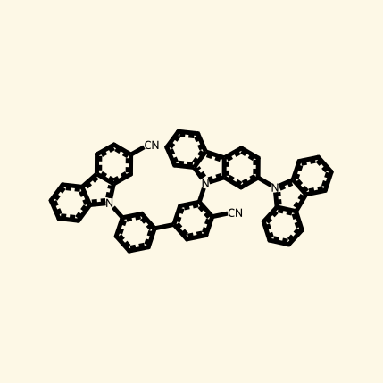 N#Cc1ccc2c3ccccc3n(-c3cccc(-c4ccc(C#N)c(-n5c6ccccc6c6ccc(-n7c8ccccc8c8ccccc87)cc65)c4)c3)c2c1